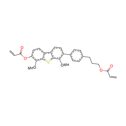 C=CC(=O)OCCCc1ccc(-c2ccc3c(sc4c(OC)c(OC(=O)C=C)ccc43)c2OC)cc1